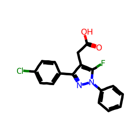 O=C(O)Cc1c(-c2ccc(Cl)cc2)nn(-c2ccccc2)c1F